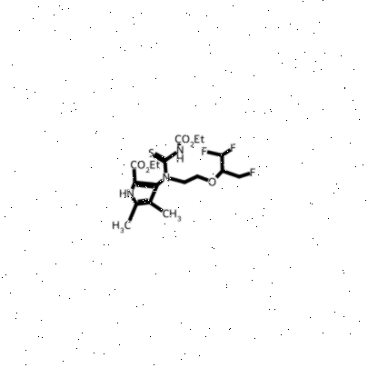 CCOC(=O)NC(=S)N(CCOC(CF)C(F)F)c1c(C(=O)OCC)[nH]c(C)c1C